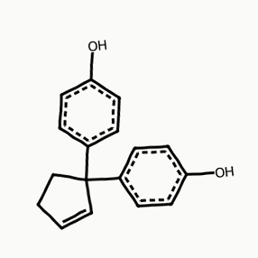 Oc1ccc(C2(c3ccc(O)cc3)C=CCC2)cc1